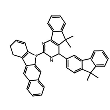 CC1(C)C2=C(N=C(n3c4c(c5cc6ccccc6cc53)CCC=C4)NC2c2ccc3c(c2)-c2ccccc2C3(C)C)c2ccccc21